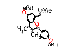 CCCCOc1ccc([C@@H]2Oc3c(COC)cc(OCCCC)cc3[C@H](C)[C@@H]2C)cc1